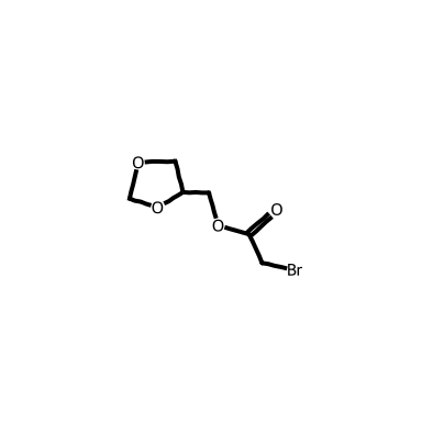 O=C(CBr)OCC1COCO1